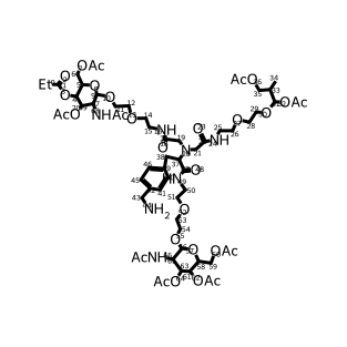 CCC(=O)OC1C(COC(C)=O)OC(OCCOCCNC(=O)CN(CC(=O)NCCOCCOC(OC(C)=O)C(C)COC(C)=O)C(Cc2ccc(CN)cc2)C(=O)NCCOCCOC2OC(COC(C)=O)C(OC(C)=O)C(OC(C)=O)C2NC(C)=O)C(NC(C)=O)C1OC(C)=O